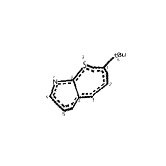 CC(C)(C)c1ccc2ccnc-2s1